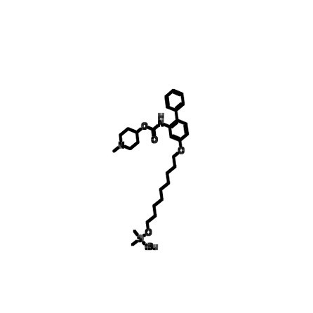 CN1CCC(OC(=O)Nc2cc(OCCCCCCCCCO[Si](C)(C)C(C)(C)C)ccc2-c2ccccc2)CC1